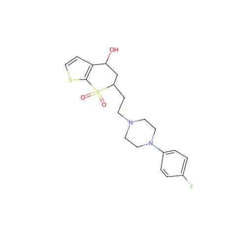 O=S1(=O)c2sccc2C(O)CC1CCN1CCN(c2ccc(F)cc2)CC1